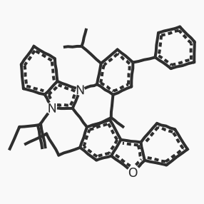 C=C(CC)[n+]1c(-c2cc3c(cc2CCC)oc2ccccc23)n(-c2c(C(C)C)cc(-c3ccccc3)cc2C(C)C)c2ccccc21